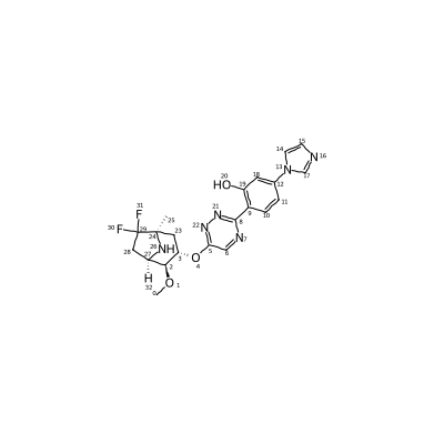 CO[C@@H]1[C@@H](Oc2cnc(-c3ccc(-n4ccnc4)cc3O)nn2)C[C@@]2(C)N[C@@H]1CC2(F)F